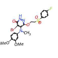 COc1ccc(N(C)c2c(OCCS(=O)(=O)c3ccc(F)cc3)n[nH]c(=O)c2Br)cc1OC